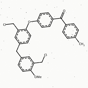 COc1ccc(Cc2ccc(Oc3ccc(C(=O)c4ccc(C)cc4)cc3)c(CCl)c2)cc1CCl